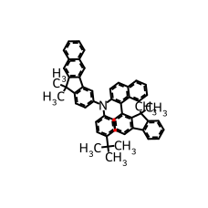 CC(C)(C)c1ccc(N(c2ccc3c(c2)-c2cc4ccccc4cc2C3(C)C)c2ccc3ccccc3c2-c2cccc3c2C(C)(C)c2ccccc2-3)cc1